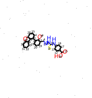 COc1c(C=NNC(=S)Nc2ccc(C(=O)O)cc2)cccc1-c1cccc2oc3ccccc3c12